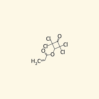 C=CC(=O)OC1C(Cl)(Cl)C(=O)C1(Cl)Cl